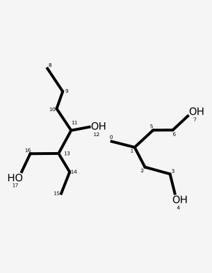 CC(CCO)CCO.CCCC(O)C(CC)CO